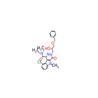 CCN(CC)C(=O)c1nn(CC(O)COCc2ccccc2)c(=O)c2c1c1c(Cl)cccc1n2C